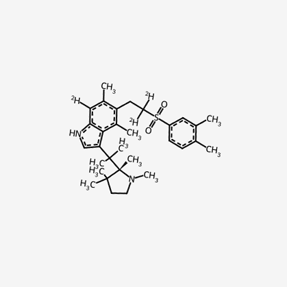 [2H]c1c(C)c(CC([2H])([2H])S(=O)(=O)c2ccc(C)c(C)c2)c(C)c2c(C(C)(C)[C@]3(C)N(C)CCC3(C)C)c[nH]c12